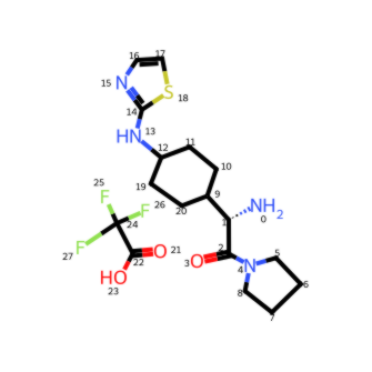 N[C@H](C(=O)N1CCCC1)C1CCC(Nc2nccs2)CC1.O=C(O)C(F)(F)F